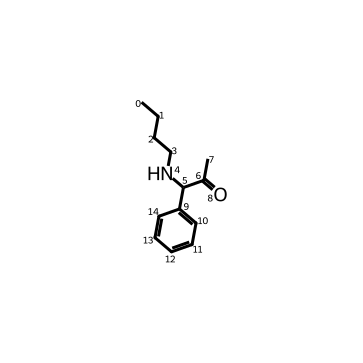 CCCCNC(C(C)=O)c1ccccc1